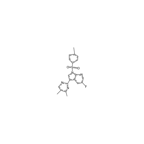 Cc1ccc(S(=O)(=O)n2cc(-c3ncc(C)c(C)n3)c3cc(F)cnc32)cc1